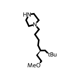 COCC[C@@H](CCCCN1CCNCC1)CC(C)(C)C